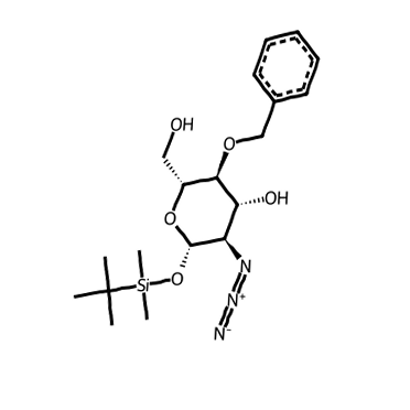 CC(C)(C)[Si](C)(C)O[C@@H]1O[C@H](CO)[C@@H](OCc2ccccc2)[C@H](O)[C@H]1N=[N+]=[N-]